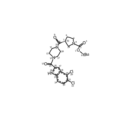 CC(C)(C)OC(=O)N1CC[C@H](C(=O)N2CCN(C(=O)c3cc4c(Cl)c(Cl)ccc4[nH]3)CC2)C1